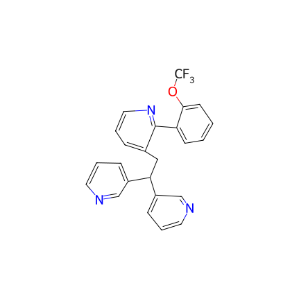 FC(F)(F)Oc1ccccc1-c1ncccc1CC(c1cccnc1)c1cccnc1